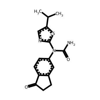 CC(C)c1cnc(N(C(N)=O)c2ccc3c(c2)CCC3=O)s1